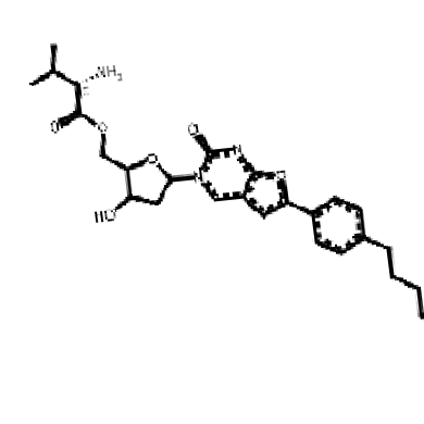 CCCCCc1ccc(-c2cc3cn(C4CC(O)C(COC(=O)[C@@H](N)C(C)C)O4)c(=O)nc3o2)cc1